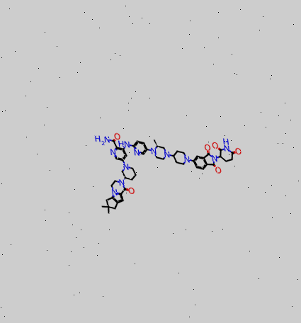 C[C@H]1CN(C2CCN(c3ccc4c(c3)C(=O)N(C3CCC(=O)NC3=O)C4=O)CC2)CCN1c1ccc(Nc2cc(N3CCC[C@H](N4CCn5c(cc6c5CC(C)(C)C6)C4=O)C3)cnc2C(N)=O)nc1